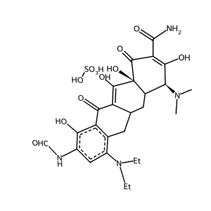 CCN(CC)c1cc(NC=O)c(O)c2c1CC1CC3[C@H](N(C)C)C(O)=C(C(N)=O)C(=O)[C@@]3(O)C(O)=C1C2=O.O=S(=O)(O)O